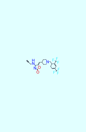 C#CCNC1=NC(=O)O/C1=C\C1CCN(CC2CC=C(C(F)(F)F)C=C2C(F)(F)F)CC1